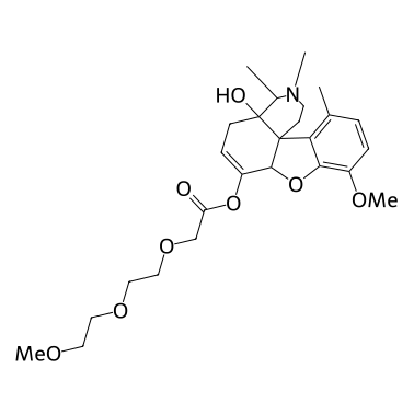 COCCOCCOCC(=O)OC1=CCC2(O)C(C)N(C)CCC23c2c(C)ccc(OC)c2OC13